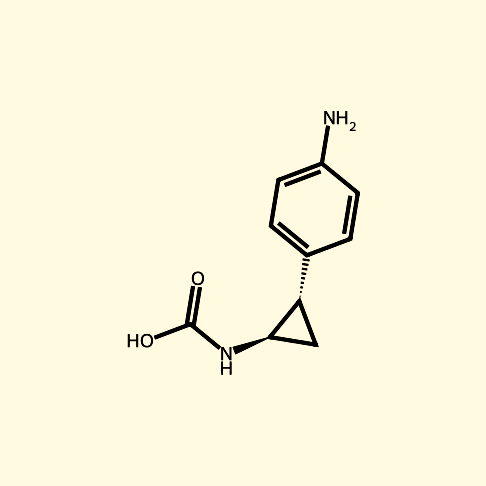 Nc1ccc([C@@H]2C[C@H]2NC(=O)O)cc1